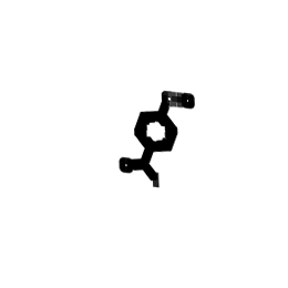 O=Cc1ccc(C(=O)I)cc1